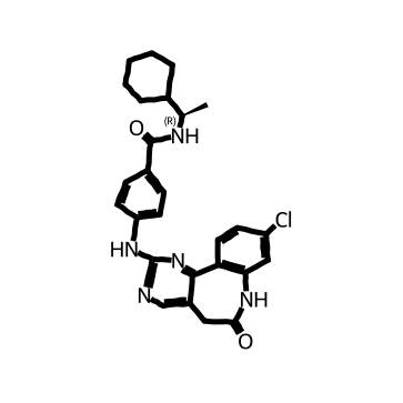 C[C@@H](NC(=O)c1ccc(Nc2ncc3c(n2)-c2ccc(Cl)cc2NC(=O)C3)cc1)C1CCCCC1